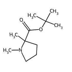 CN1CCCC1(C)C(=O)OC(C)(C)C